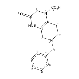 O=C1CN(C(=O)O)C2=C(CN(Cc3ccccc3)CC2)N1